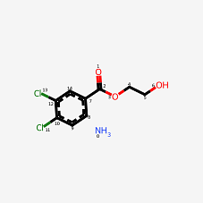 N.O=C(OCCO)c1ccc(Cl)c(Cl)c1